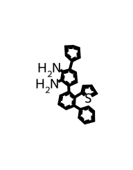 Nc1c(-c2ccccc2)ccc(-c2cccc(-c3ccccc3)c2-c2cccs2)c1N